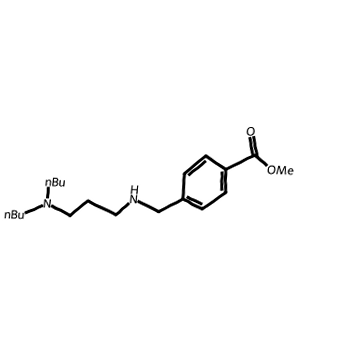 CCCCN(CCCC)CCCNCc1ccc(C(=O)OC)cc1